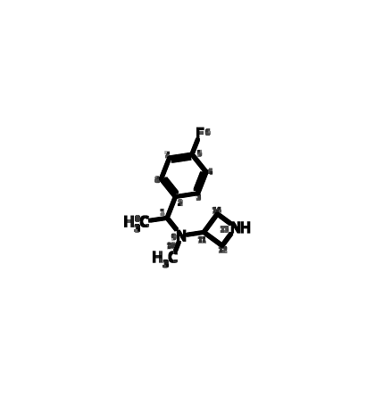 CC(c1ccc(F)cc1)N(C)C1CNC1